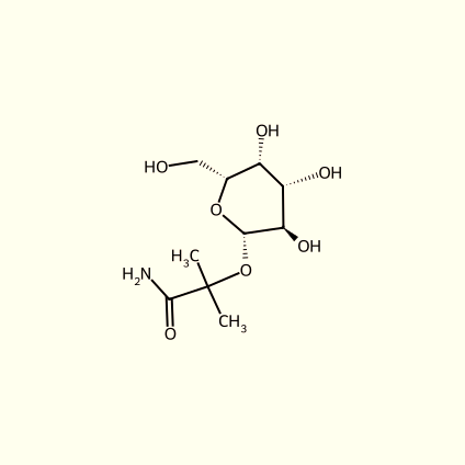 CC(C)(O[C@@H]1O[C@H](CO)[C@H](O)[C@H](O)[C@H]1O)C(N)=O